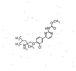 COC(=O)Nc1nccc(-c2ccc(OCC(C)(N)CC(C)C)c(Cl)c2)n1